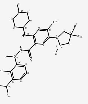 C[C@@H](NC(=O)c1cc(N2CC(F)(F)C[C@@H]2C)c(F)cc1NC1CCN(C)CC1)c1cccc(C(F)F)c1F